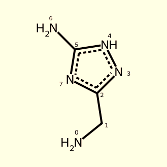 NCc1n[nH]c(N)n1